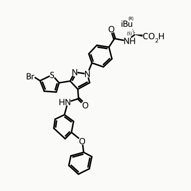 CC[C@@H](C)[C@H](NC(=O)c1ccc(-n2cc(C(=O)Nc3cccc(Oc4ccccc4)c3)c(-c3ccc(Br)s3)n2)cc1)C(=O)O